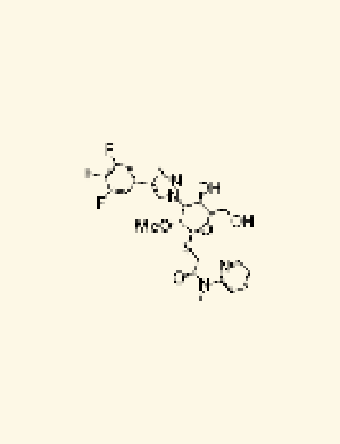 CO[C@@H]1[C@@H](n2cc(-c3cc(F)c(F)c(F)c3)nn2)[C@@H](O)[C@@H](CO)O[C@H]1SCC(=O)N(C)c1ccccn1